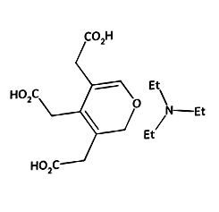 CCN(CC)CC.O=C(O)CC1=COCC(CC(=O)O)=C1CC(=O)O